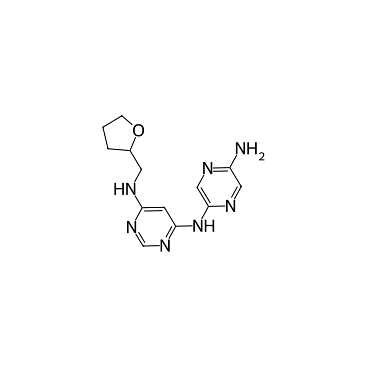 Nc1cnc(Nc2cc(NCC3CCCO3)ncn2)cn1